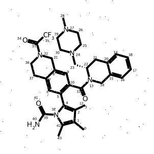 Cc1c(C)c(-c2cc3c(cc2C(=O)N2Cc4ccccc4C[C@H]2CN2CCN(C)CC2)CN(C(=O)C(F)(F)F)CC3)n(C(N)=O)c1C